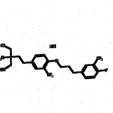 Cl.NC(CO)(CO)CCc1ccc(OCCCc2ccc(F)c(C(F)(F)F)c2)c(C(F)(F)F)c1